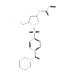 C=CC(=O)NC1CC(CO)N(S(=O)(=O)c2ccc(C(=O)N3CCCCC3)cc2)C1